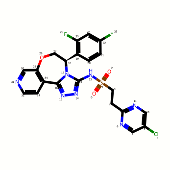 O=S(=O)(CCc1ncc(Cl)cn1)Nc1nnc2n1[C@H](c1ccc(F)cc1F)COc1cnccc1-2